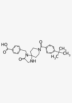 CC(C)(C)c1ccc(C(=O)N2CCC3(CC2)NCC(=O)N3Cc2ccc(C(=O)O)cc2)cc1